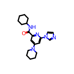 O=C(NC1CCCCC1)c1cc(N2CCCCC2)cc(-n2ccnc2)n1